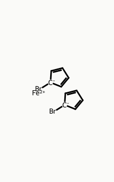 Br[c-]1cccc1.Br[c-]1cccc1.[Fe+2]